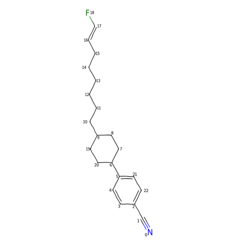 N#Cc1ccc(C2CCC(CCCCCCC=CF)CC2)cc1